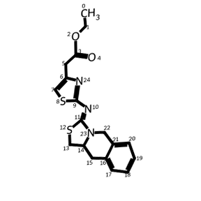 CCOC(=O)Cc1csc(N=C2SCC3Cc4ccccc4CN23)n1